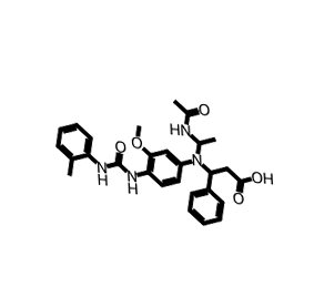 COc1cc(N(C(C)NC(C)=O)C(CC(=O)O)c2ccccc2)ccc1NC(=O)Nc1ccccc1C